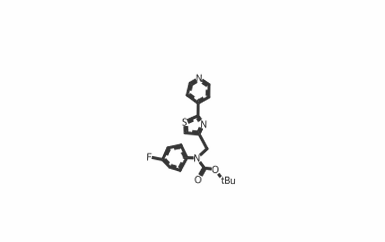 CC(C)(C)OC(=O)N(Cc1csc(-c2ccncc2)n1)c1ccc(F)cc1